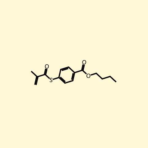 C=C(C)C(=O)Sc1ccc(C(=O)OCCCC)cc1